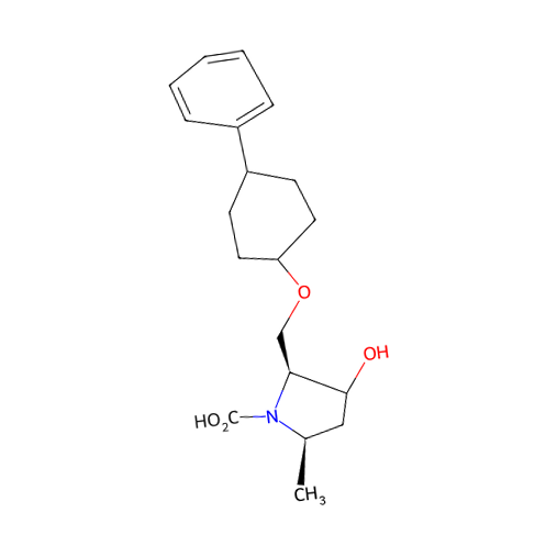 C[C@@H]1CC(O)[C@H](COC2CCC(c3ccccc3)CC2)N1C(=O)O